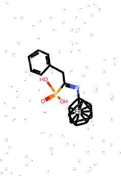 O=P(O)(O)C(Cc1ccccc1)=N[C]12[CH]3[CH]4[CH]5[CH]1[Fe]45321678[CH]2[CH]1[CH]6[CH]7[CH]28